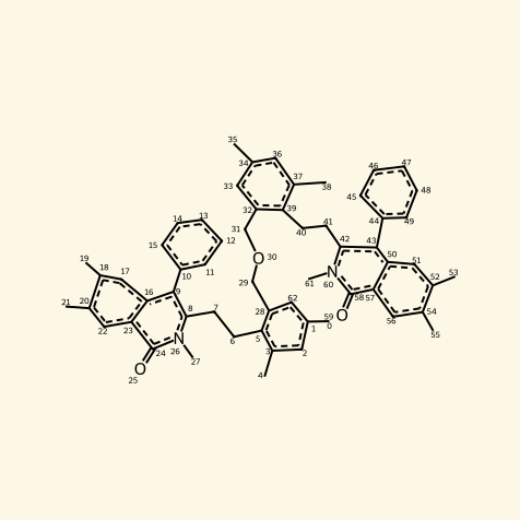 Cc1cc(C)c(CCc2c(-c3ccccc3)c3cc(C)c(C)cc3c(=O)n2C)c(COCc2cc(C)cc(C)c2CCc2c(-c3ccccc3)c3cc(C)c(C)cc3c(=O)n2C)c1